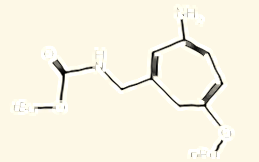 CCCCOC1=CC=C(N)C=C(CNC(=O)OC(C)(C)C)C1